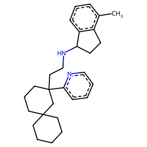 Cc1cccc2c1CCC2NCCC1(c2ccccn2)CCCC2(CCCCC2)C1